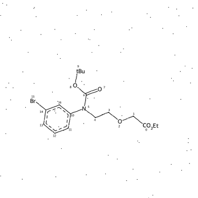 CCOC(=O)COCCN(C(=O)OC(C)(C)C)c1cccc(Br)c1